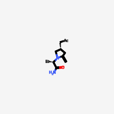 C=C1C[C@@H](CC(C)=O)CN1[C@@H](CC)C(N)=O